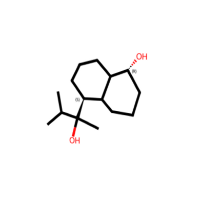 CC(C)C(C)(O)[C@H]1CCCC2C1CCC[C@H]2O